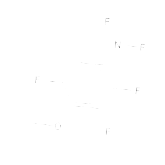 CCOc1c(F)cc(N(F)F)c(F)c1F